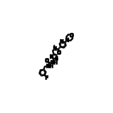 CN(Cc1csc(NC(=O)NCc2cccc(F)c2)n1)C(=O)c1ccc(N2CCOCC2)nc1